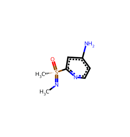 CN=[S@@](C)(=O)c1cc(N)ccn1